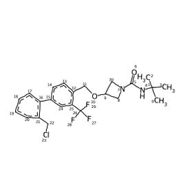 CC(C)(C)NC(=O)N1CC(OCc2ccc(-c3ccccc3CCl)cc2C(F)(F)F)C1